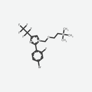 C[Si](C)(C)CCOCn1cc(C(F)(F)C(F)(F)F)nc1-c1ccc(Br)cc1F